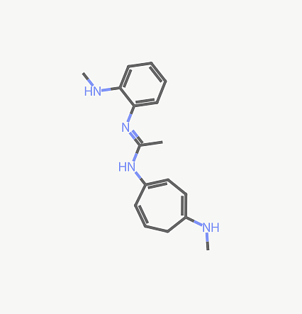 CNC1=CC=C(N/C(C)=N/c2ccccc2NC)C=CC1